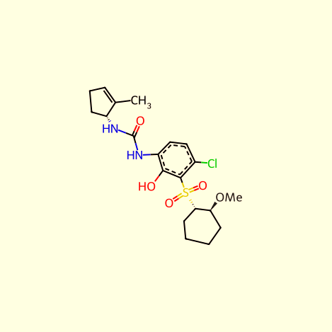 CO[C@H]1CCCC[C@@H]1S(=O)(=O)c1c(Cl)ccc(NC(=O)N[C@@H]2CCC=C2C)c1O